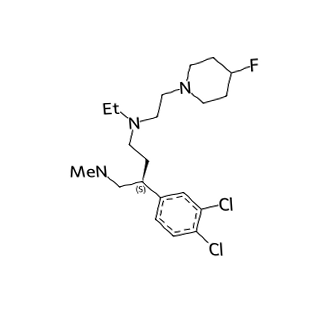 CCN(CC[C@H](CNC)c1ccc(Cl)c(Cl)c1)CCN1CCC(F)CC1